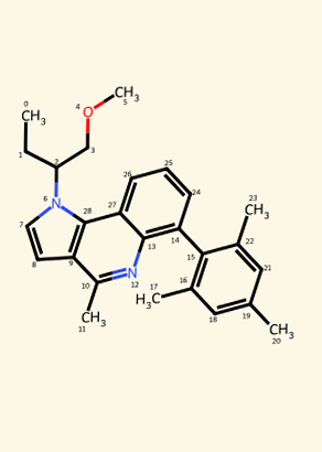 CCC(COC)n1ccc2c(C)nc3c(-c4c(C)cc(C)cc4C)cccc3c21